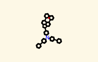 C1=C(c2ccc(N(c3ccc(-c4ccccc4)cc3)c3ccc(-c4ccccc4)cc3)cc2)c2ccc(-c3ccccc3)c3c(-c4ccccc4)ccc1c23